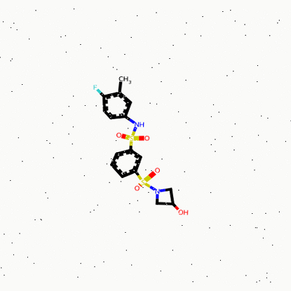 Cc1cc(NS(=O)(=O)c2cccc(S(=O)(=O)N3CC(O)C3)c2)ccc1F